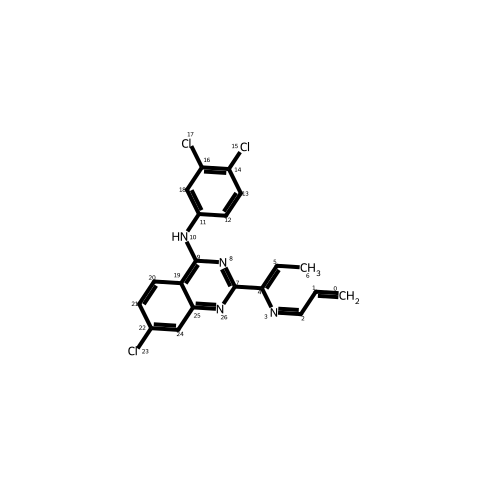 C=C/C=N\C(=C/C)c1nc(Nc2ccc(Cl)c(Cl)c2)c2ccc(Cl)cc2n1